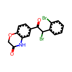 O=C1COc2ccc(C(=O)C(Br)c3ccccc3Br)cc2N1